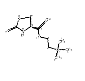 C[Si](C)(C)CCOC(=O)[C@@H]1CSC(=O)N1